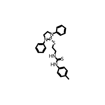 Cc1ccc(NC(=S)NCCSP2N(c3ccccc3)CCN2c2ccccc2)cc1